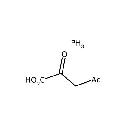 CC(=O)CC(=O)C(=O)O.P